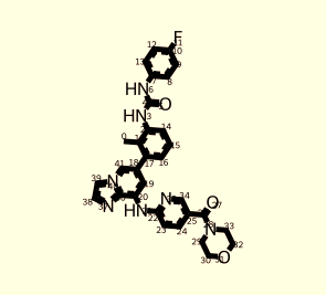 Cc1c(NC(=O)Nc2ccc(F)cc2)cccc1-c1cc(Nc2ccc(C(=O)N3CCOCC3)cn2)c2nccn2c1